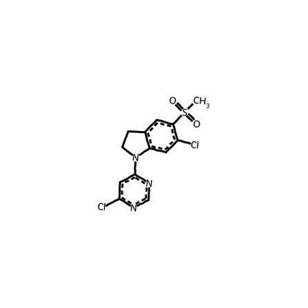 CS(=O)(=O)c1cc2c(cc1Cl)N(c1cc(Cl)ncn1)CC2